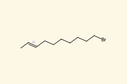 C/C=C/CCCCCCCBr